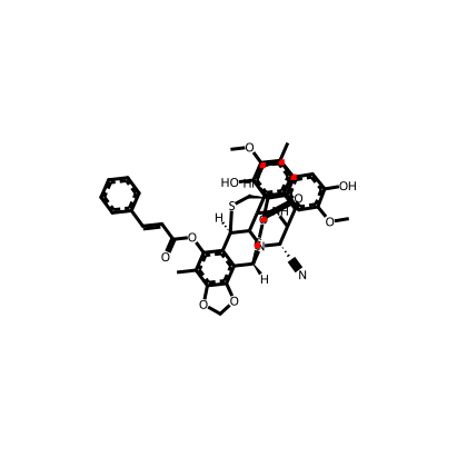 COc1cc2c(cc1O)CCN[C@]21CS[C@@H]2c3c(OC(=O)/C=C/c4ccccc4)c(C)c4c(c3[C@H](CCOC1=O)N1C2C2NC(Cc3cc(C)c(OC)c(O)c32)[C@@H]1C#N)OCO4